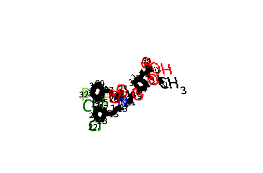 CCOC(Cc1ccc(OCCN(CCCc2cc(Cl)cc(Cl)c2)C(=O)OCc2ccc(F)cc2F)cc1)C(=O)O